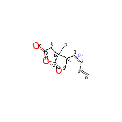 C=C/C=C\C(C)C1(C)CC(=O)OC1=O